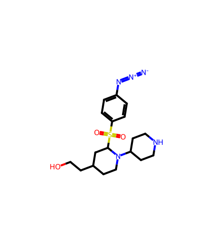 [N-]=[N+]=Nc1ccc(S(=O)(=O)C2CC(CCO)CCN2C2CCNCC2)cc1